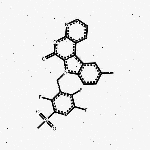 Cc1ccc2c(c1)c1c3cccnc3oc(=O)c1n2Cc1c(F)c(F)cc(S(C)(=O)=O)c1F